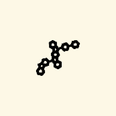 c1ccc(-c2ccc(-n3c4ccccc4c4cc5c(cc43)c3ccccc3n5-c3ccc4oc5ccccc5c4c3)cc2)cc1